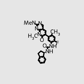 CNc1ncc2cc(-c3cc(NC(=O)N[C@@H]4CCc5ccccc54)c(F)cc3C)c(=O)n(C)c2n1